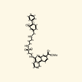 COC(=O)c1ccc2c(c1)nc(NCCS(=O)(=O)NCCCNCc1ccc(-c3ccccc3)c(Cl)c1)c1ccncc12